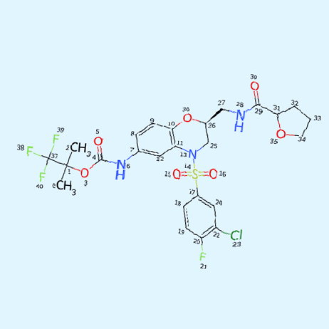 CC(C)(OC(=O)Nc1ccc2c(c1)N(S(=O)(=O)c1ccc(F)c(Cl)c1)C[C@H](CNC(=O)C1CCCO1)O2)C(F)(F)F